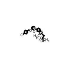 Cn1c(C2CC2C(C)(C)O)nc2ccc(-n3cccc(OCc4ccc(Cl)cc4)c3=O)cc21